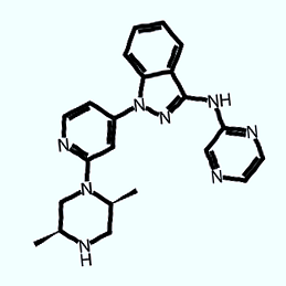 C[C@H]1CN(c2cc(-n3nc(Nc4cnccn4)c4ccccc43)ccn2)[C@@H](C)CN1